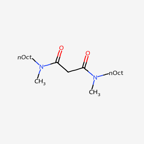 CCCCCCCCN(C)C(=O)CC(=O)N(C)CCCCCCCC